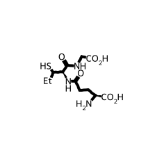 CCC(S)[C@H](NC(=O)CC[C@H](N)C(=O)O)C(=O)NCC(=O)O